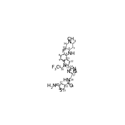 CN1CC[C@@H](Nc2cccc3c2cc(-c2noc(CNC(=O)c4csc(N)c4)n2)n3CC(F)(F)F)[C@@H](F)C1